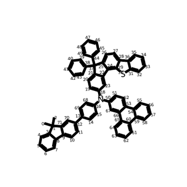 CC1(C)c2ccccc2-c2ccc(-c3ccc(N(c4ccc5c(c4)-c4c(ccc6c4sc4ccccc46)C5(c4ccccc4)c4ccccc4)c4ccc5c6ccccc6c6ccccc6c5c4)cc3)cc21